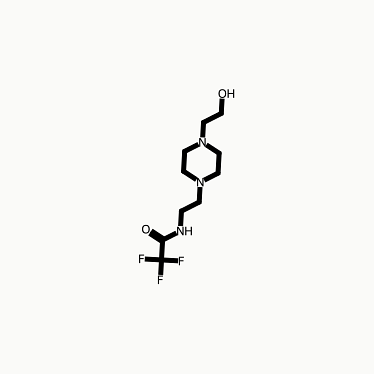 O=C(NCCN1CCN(CCO)CC1)C(F)(F)F